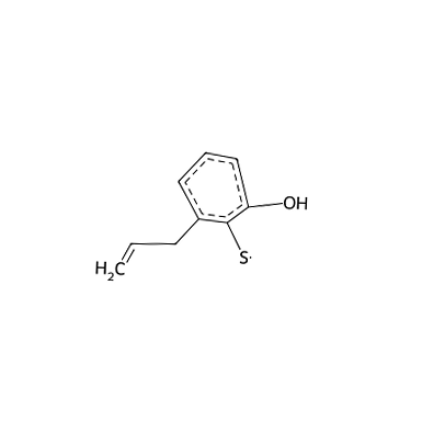 C=CCc1cccc(O)c1[S]